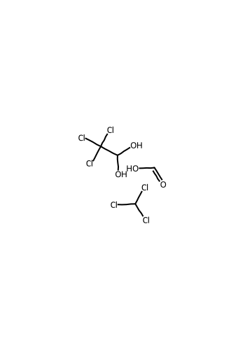 ClC(Cl)Cl.O=CO.OC(O)C(Cl)(Cl)Cl